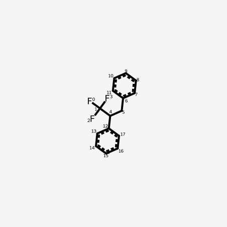 FC(F)(F)C(Cc1ccccc1)c1cc[c]cc1